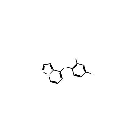 Nc1ccc(Oc2cccn3nccc23)c(F)c1